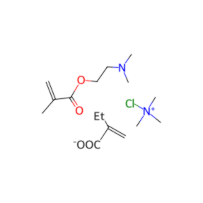 C=C(C)C(=O)OCCN(C)C.C=C(CC)C(=O)[O-].C[N+](C)(C)Cl